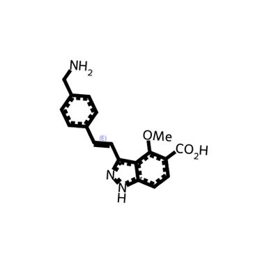 COc1c(C(=O)O)ccc2[nH]nc(/C=C/c3ccc(CN)cc3)c12